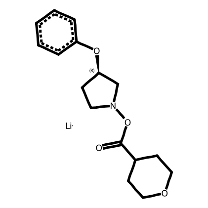 O=C(ON1CC[C@@H](Oc2ccccc2)C1)C1CCOCC1.[Li]